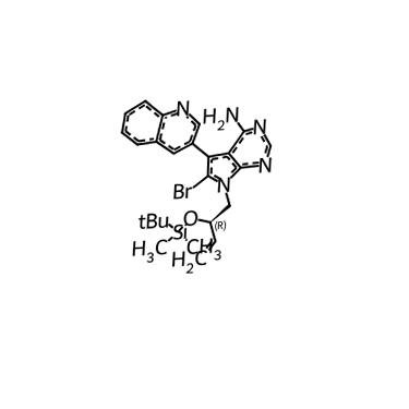 C=C[C@H](Cn1c(Br)c(-c2cnc3ccccc3c2)c2c(N)ncnc21)O[Si](C)(C)C(C)(C)C